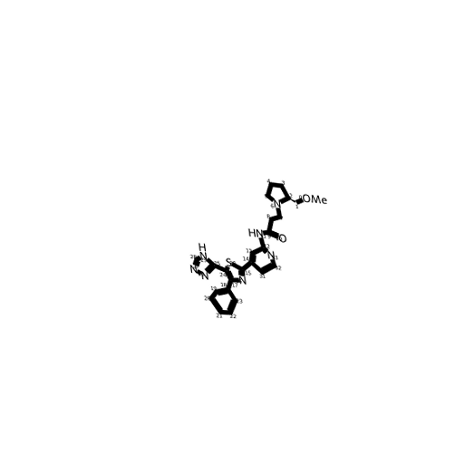 COC[C@H]1CCCN1CCC(=O)Nc1cc(-c2nc(-c3ccccc3)c(-c3nnc[nH]3)s2)ccn1